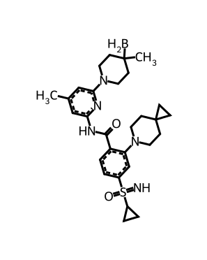 BC1(C)CCN(c2cc(C)cc(NC(=O)c3ccc(S(=N)(=O)C4CC4)cc3N3CCC4(CC3)CC4)n2)CC1